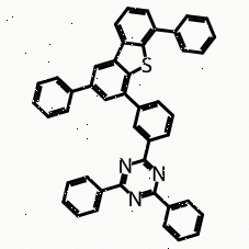 c1ccc(-c2cc(-c3cccc(-c4nc(-c5ccccc5)nc(-c5ccccc5)n4)c3)c3sc4c(-c5ccccc5)cccc4c3c2)cc1